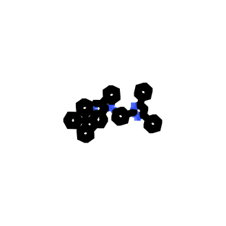 c1ccc(-c2cc(-c3ccccc3)nc(-c3cccc(-n4c5ccccc5c5cnc6c7c(ccc6c54)-c4ccccc4C7(c4ccccc4)c4ccccc4)c3)n2)cc1